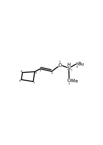 CCCC[SiH](OC)OC=CC1CCC1